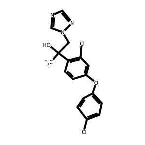 OC(Cn1cncn1)(c1ccc(Oc2ccc(Cl)cc2)cc1Cl)C(F)(F)F